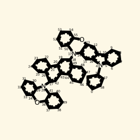 c1ccc(-n2c3ccccc3c3cc4c(cc32)N(c2cc3c5ccccc5c(N5c6ccccc6Oc6ccccc65)cc3c3ccccc23)c2ccccc2O4)cc1